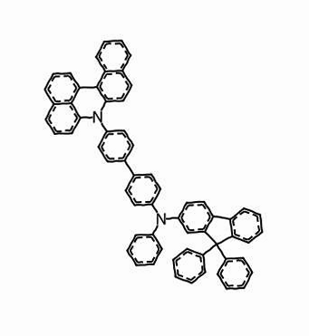 c1ccc(N(c2ccc(-c3ccc(N4c5ccc6ccccc6c5-c5cccc6cccc4c56)cc3)cc2)c2ccc3c(c2)C(c2ccccc2)(c2ccccc2)c2ccccc2-3)cc1